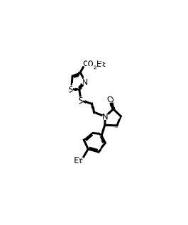 CCOC(=O)c1csc(SCCN2C(=O)CCC2c2ccc(CC)cc2)n1